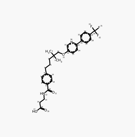 CC(C)(CCCc1ccc(C(=O)NCCC(=O)O)cc1)COc1ccc(-c2ccc(C(F)(F)F)cc2)nc1